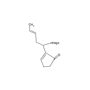 CC=CCC(CCCCCCC)C1=CCCC1=O